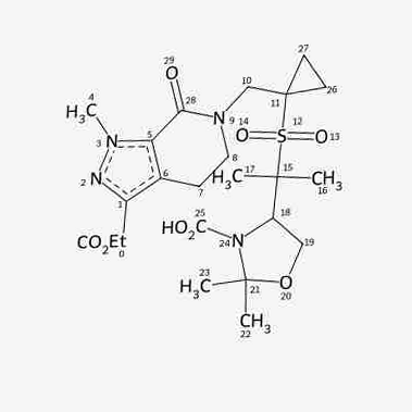 CCOC(=O)c1nn(C)c2c1CCN(CC1(S(=O)(=O)C(C)(C)C3COC(C)(C)N3C(=O)O)CC1)C2=O